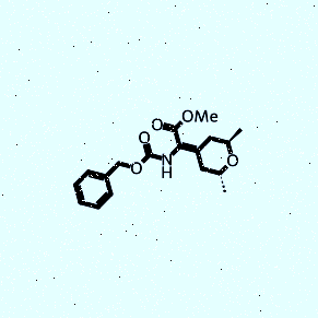 COC(=O)C(NC(=O)OCc1ccccc1)=C1C[C@@H](C)O[C@H](C)C1